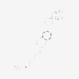 COCCCCC[C@H]1CCc2cc([C@@H]3CC[C@@](N)(CO)C3)ccc2C1